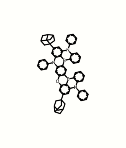 c1ccc(N2c3ccccc3B3c4cc5c(cc4Oc4cc(C67CC8CC(C6)C(C8)C7)cc2c43)N(c2ccccc2)c2cc(C34CC6CC(C3)C(C6)C4)cc3c2B5c2ccccc2N3c2ccccc2)cc1